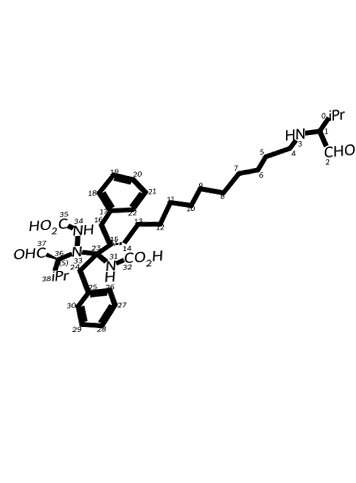 CC(C)C(C=O)NCCCCCCCCCCC[C@@H](Cc1ccccc1)C(Cc1ccccc1)(NC(=O)O)N(NC(=O)O)[C@H](C=O)C(C)C